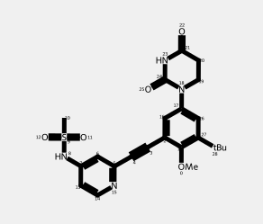 COc1c(C#Cc2cc(NS(C)(=O)=O)ccn2)cc(N2CCC(=O)NC2=O)cc1C(C)(C)C